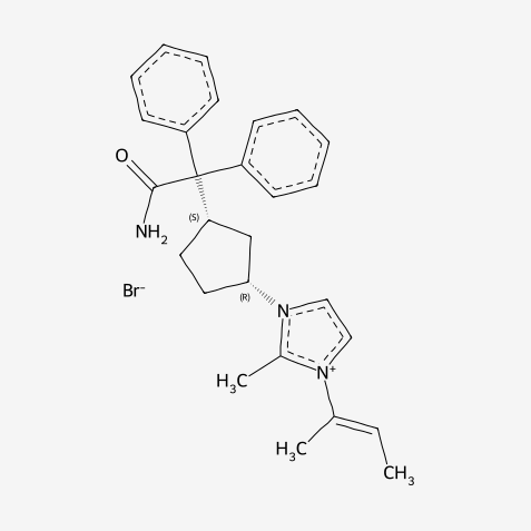 CC=C(C)[n+]1ccn([C@@H]2CC[C@H](C(C(N)=O)(c3ccccc3)c3ccccc3)C2)c1C.[Br-]